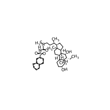 CC[C@H]1[C@@H](O)[C@@H]2[C@H](CC[C@]3(C)[C@@H]([C@H](C)CCN(C)C(=O)NS(=O)(=O)c4ccc5ccccc5c4)CC[C@@H]23)[C@@]2(C)CC[C@@H](O)C[C@@H]12